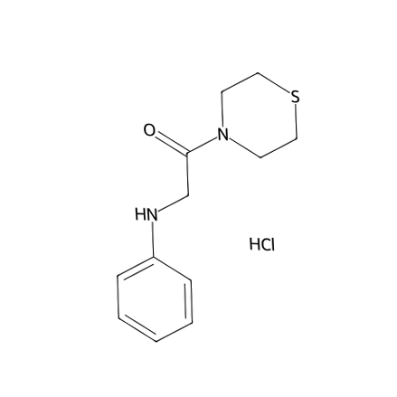 Cl.O=C(CNc1ccccc1)N1CCSCC1